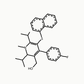 CC(C)C1=C(Sc2cccc3ccccc23)C(c2ccc(F)cc2)=C(CO)C(C(C)C)N1C